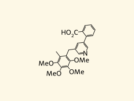 COc1c(C)c(Cc2cncc(-c3ccccc3C(=O)O)c2)c(OC)c(OC)c1OC